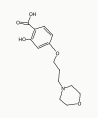 O=C(O)c1ccc(OCCCN2CCOCC2)cc1O